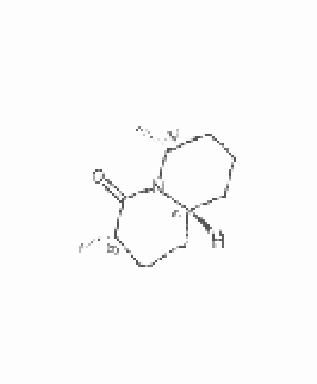 C[C@@H]1CCC[C@@H]2CC[C@H](C)C(=O)N21